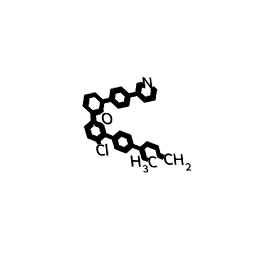 C=C/C=C\C(=C/C)c1ccc(-c2c(Cl)ccc3c4c(oc23)C(c2ccc(-c3cccnc3)cc2)CC=C4)cc1